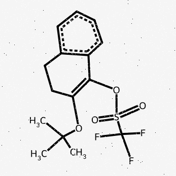 CC(C)(C)OC1=C(OS(=O)(=O)C(F)(F)F)c2ccccc2CC1